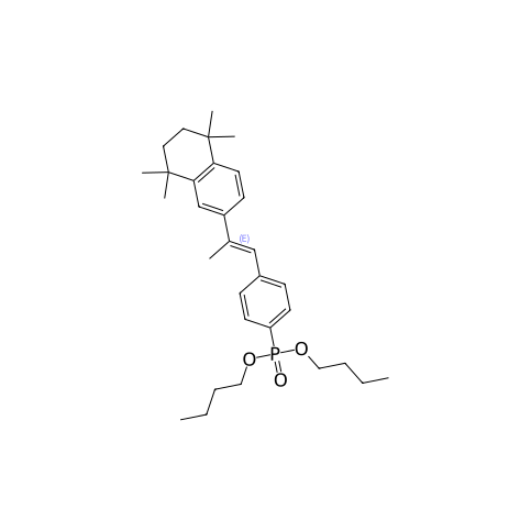 CCCCOP(=O)(OCCCC)c1ccc(/C=C(\C)c2ccc3c(c2)C(C)(C)CCC3(C)C)cc1